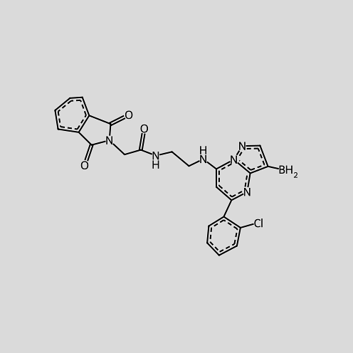 Bc1cnn2c(NCCNC(=O)CN3C(=O)c4ccccc4C3=O)cc(-c3ccccc3Cl)nc12